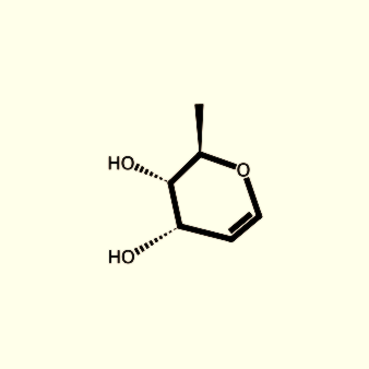 C[C@H]1OC=C[C@H](O)[C@@H]1O